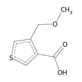 COCc1cscc1C(=O)O